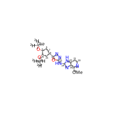 [2H]C([2H])([2H])Oc1ccc(-c2nnc(Nc3nc4c(OC)nccc4[nH]3)o2)cc1OC([2H])([2H])[2H]